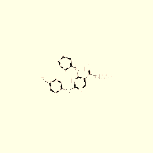 CNC(=O)c1cnc(Nc2ccc(F)cc2)nc1Nc1ccccc1